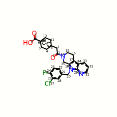 O=C(CC12CCC(C(=O)O)(CC1)CC2)N1CCc2c(n(Cc3ccc(F)c(Cl)c3)c3ncccc23)C1